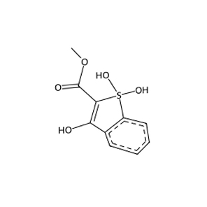 COC(=O)C1=C(O)c2ccccc2S1(O)O